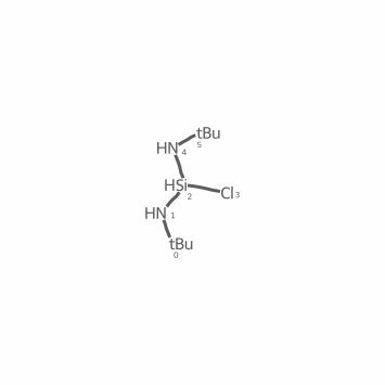 CC(C)(C)N[SiH](Cl)NC(C)(C)C